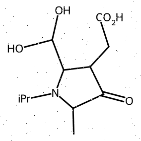 CC(C)N1C(C)C(=O)C(CC(=O)O)C1C(O)O